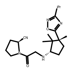 CC(C)c1noc([C@]2(C)CC[C@H](NCC(=O)N3CCC[C@H]3C#N)C2(C)C)n1